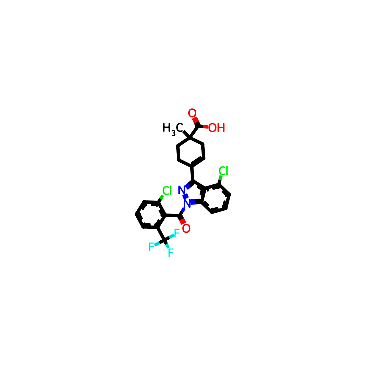 CC1(C(=O)O)CC=C(c2nn(C(=O)c3c(Cl)cccc3C(F)(F)F)c3cccc(Cl)c23)CC1